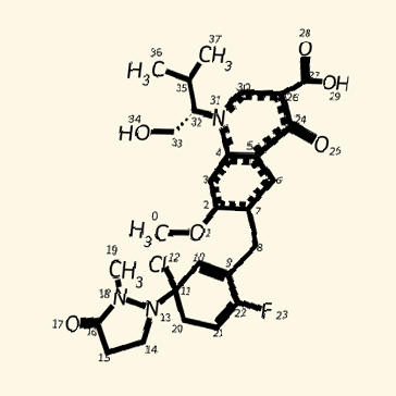 COc1cc2c(cc1CC1=CC(Cl)(N3CCC(=O)N3C)CC=C1F)c(=O)c(C(=O)O)cn2[C@H](CO)C(C)C